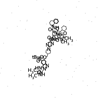 Cc1[nH]nc(Nc2ncnc3cc(OCC4CCN(c5cnc(C(=O)N[C@H]6C[C@@H](C(=O)N[C@@H]7CCCc8ccccc87)N(C(=O)C(NC(=O)[C@H](C)N(C)C(=O)OC(C)(C)C)C7CCCCC7)C6)cn5)CC4)c(S(=O)(=O)C(C)(C)C)cc23)c1C